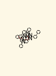 c1ccc(-c2cccc(-c3nc(-c4ccccc4)nc(-n4c5ccccc5c5ccc6c7ccccc7n(-c7ccccc7-c7nc(-c8ccccc8)cc(-c8ccccc8)n7)c6c54)n3)c2)cc1